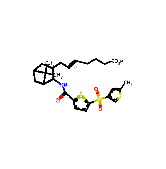 Cc1cc(S(=O)(=O)c2ccc(C(=O)NC3C(C/C=C/CCCC(=O)O)CC4CC3C4(C)C)s2)cs1